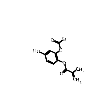 C=C(C)C(=O)Oc1ccc(O)cc1OC(=O)CC